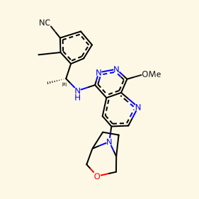 COc1nnc(N[C@H](C)c2cccc(C#N)c2C)c2cc(N3C4CCC3COC4)cnc12